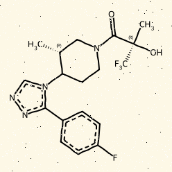 C[C@@H]1CN(C(=O)[C@@](C)(O)C(F)(F)F)CCC1n1cnnc1-c1ccc(F)cc1